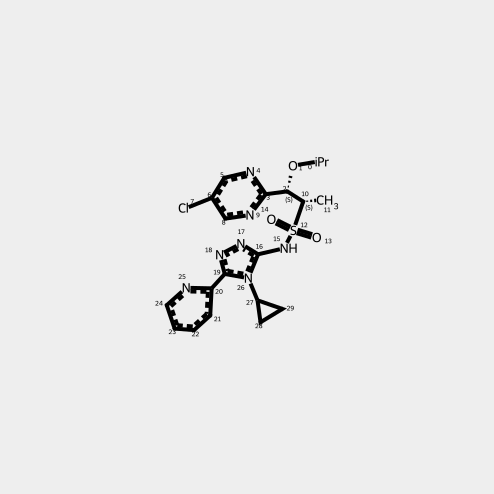 CC(C)O[C@@H](c1ncc(Cl)cn1)[C@H](C)S(=O)(=O)Nc1nnc(-c2ccccn2)n1C1CC1